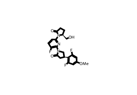 COc1cc(F)c([C@H]2CC(=O)N(c3nc(N4C(=O)CC[C@H]4CO)ccc3F)C2)c(F)c1